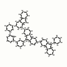 c1ccc(-c2cccc(-c3cccc(-n4c5ccc(-c6ccc7c(c6)c6ccccc6n7-c6ccccc6)cc5c5ccc(-c6cccc7c6sc6ccccc67)cc54)c3)n2)cc1